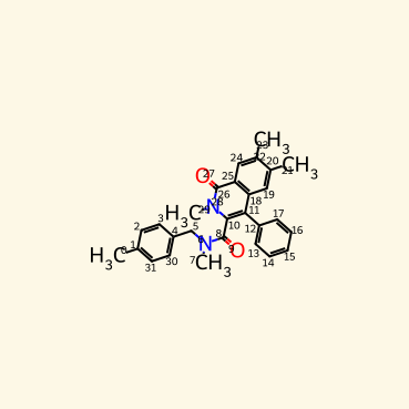 Cc1ccc(CN(C)C(=O)c2c(-c3ccccc3)c3cc(C)c(C)cc3c(=O)n2C)cc1